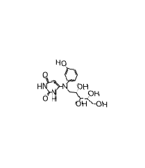 O=c1cc(N(C[C@H](O)[C@H](O)[C@H](O)CO)c2cccc(O)c2)[nH]c(=O)[nH]1